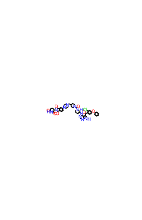 O=C1CC[C@H](N2C(=O)c3ccc(N4CCN(CC5CCN(C(=O)N6CCC[C@@H](Nc7ncnc8[nH]cc(C(=O)c9ccc(Oc%10ccccc%10)cc9Cl)c78)C6)CC5)CC4)cc3C2=O)C(=O)N1